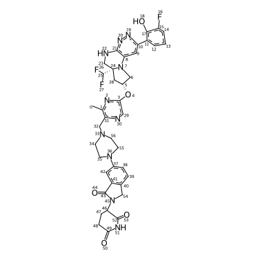 Cc1nc(O[C@H]2CN3c4cc(-c5cccc(F)c5O)nnc4NC[C@]3(C(F)F)C2)cnc1CN1CCN(c2ccc3c(c2)C(=O)N(C2CCC(=O)NC2=O)C3)CC1